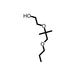 CCCOCC(C)(C)OCCO